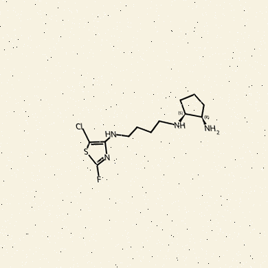 N[C@@H]1CCC[C@@H]1NCCCCNc1nc(F)sc1Cl